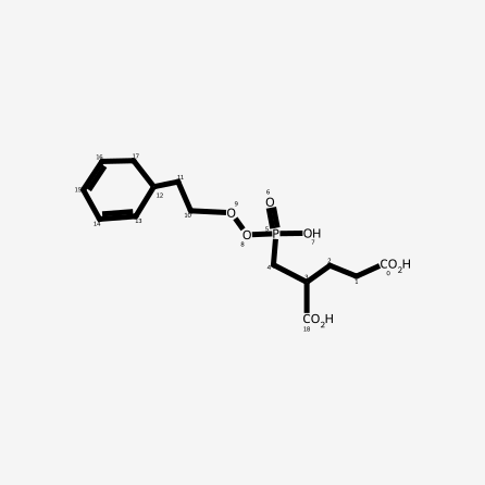 O=C(O)CCC(CP(=O)(O)OOCCC1C=CC=CC1)C(=O)O